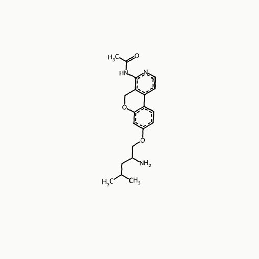 CC(=O)Nc1nccc2c1COc1cc(OCC(N)CC(C)C)ccc1-2